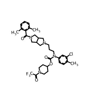 Cc1ccc(N(CCCN2CC3CN(C(=O)c4c(C)cccc4C)CC3C2)C(=O)OC2CCN(C(=O)C(F)(F)F)CC2)cc1Cl